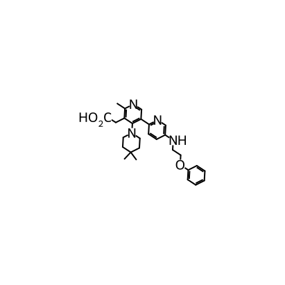 Cc1ncc(-c2ccc(NCCOc3ccccc3)cn2)c(N2CCC(C)(C)CC2)c1CC(=O)O